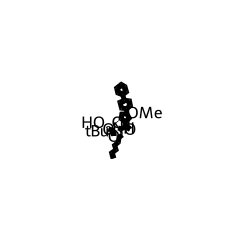 C=CCCCCC[C@H](NC(=O)OC(C)(C)C)C(=O)N1C[C@](OC)(C2C=CC(c3ccccc3)=CC2)C[C@H]1C(=O)O